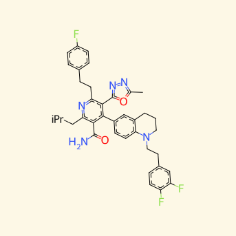 Cc1nnc(-c2c(CCc3ccc(F)cc3)nc(CC(C)C)c(C(N)=O)c2-c2ccc3c(c2)CCCN3CCc2ccc(F)c(F)c2)o1